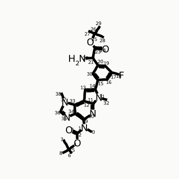 CN(C(=O)OC(C)(C)C)c1nc2c(cc(-c3cc(F)cc(C(N)C(=O)OC(C)(C)C)c3)n2C)c2c1ncn2C